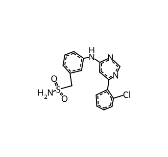 NS(=O)(=O)Cc1cccc(Nc2cc(-c3ccccc3Cl)ncn2)c1